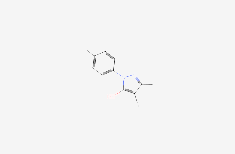 CCc1nn(-c2ccc(C)cc2)c(O)c1C(C)C